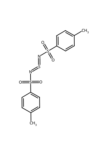 Cc1ccc(S(=O)(=O)N=S=NS(=O)(=O)c2ccc(C)cc2)cc1